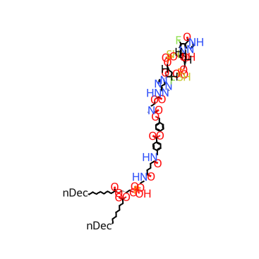 CCCCCCCCCCCCCCCCCC(=O)OC[C@H](COP(=O)(O)OCCNC(=O)CCCC(=O)NCc1ccc(C(=O)Oc2ccc(COC(=O)N(C)CCOC(=O)Nc3ncnc4c3ncn4[C@@H]3O[C@@H]4CO[P@@](=O)(S)O[C@@H]5[C@H](O)[C@@H](CO[P@@](=O)(S)O[C@H]4[C@H]3F)O[C@H]5n3cc(F)c4c(=O)[nH]cnc43)cc2)cc1)OC(=O)CCCCCCCCCCCCCCCCC